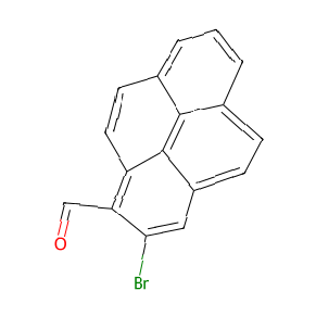 O=Cc1c(Br)cc2ccc3cccc4ccc1c2c34